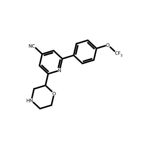 N#Cc1cc(-c2ccc(OC(F)(F)F)cc2)nc(C2CNCCO2)c1